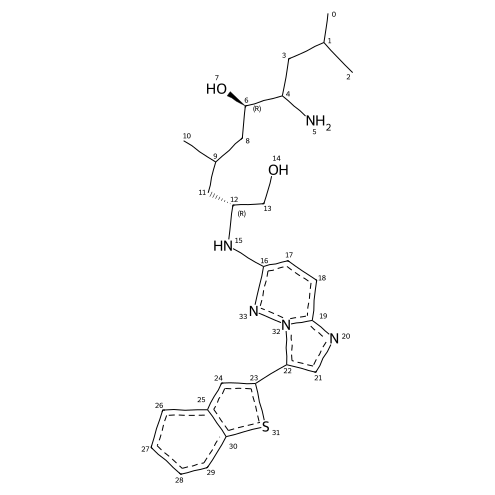 CC(C)CC(N)[C@H](O)CC(C)C[C@H](CO)Nc1ccc2ncc(-c3cc4ccccc4s3)n2n1